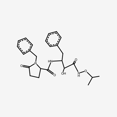 CC(C)ONC(=O)C(O)C(Cc1ccccc1)NC(=O)C1CCC(=O)N1Cc1ccccc1